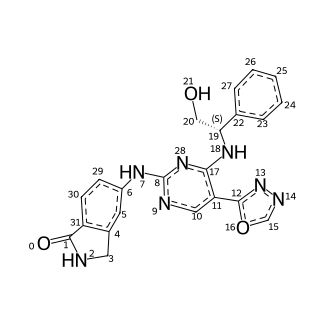 O=C1NCc2cc(Nc3ncc(-c4nnco4)c(N[C@H](CO)c4ccccc4)n3)ccc21